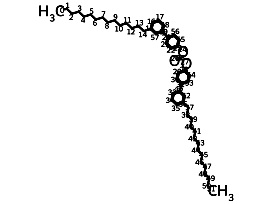 CCCCCCCCCCCCCCCc1cccc(-c2ccc(OC(=O)Oc3ccc(-c4cccc(CCCCCCCCCCCCCCC)c4)cc3)cc2)c1